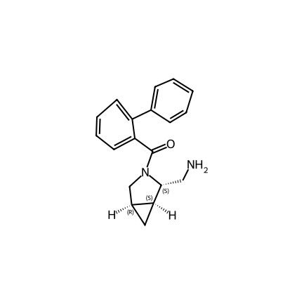 NC[C@@H]1[C@H]2C[C@H]2CN1C(=O)c1ccccc1-c1ccccc1